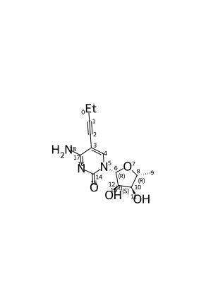 CCC#Cc1cn([C@@H]2O[C@H](C)[C@@H](O)[C@H]2O)c(=O)nc1N